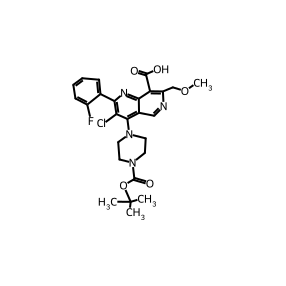 COCc1ncc2c(N3CCN(C(=O)OC(C)(C)C)CC3)c(Cl)c(-c3ccccc3F)nc2c1C(=O)O